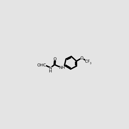 O=CNC(=O)Nc1ccc(OC(F)(F)F)cc1